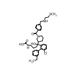 CCc1cccc(-c2c(Cl)cccc2C(O)(CCCNC(=O)O)C2CCCN(C(=O)c3ccc(CNCCSC)cc3)C2)c1